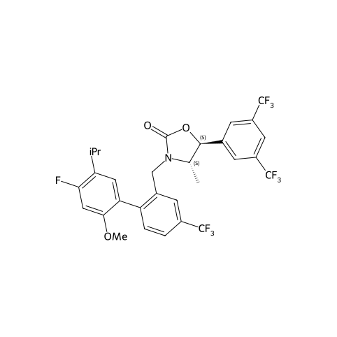 COc1cc(F)c(C(C)C)cc1-c1ccc(C(F)(F)F)cc1CN1C(=O)O[C@@H](c2cc(C(F)(F)F)cc(C(F)(F)F)c2)[C@@H]1C